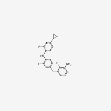 Nc1nccc(Cc2ccc(Nc3ccc(C4CC4)cc3F)c(F)c2)c1F